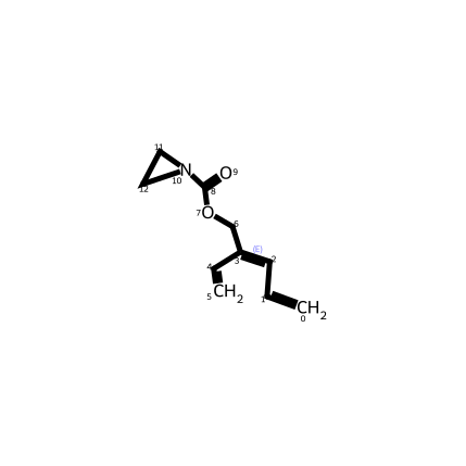 C=C/C=C(\C=C)COC(=O)N1CC1